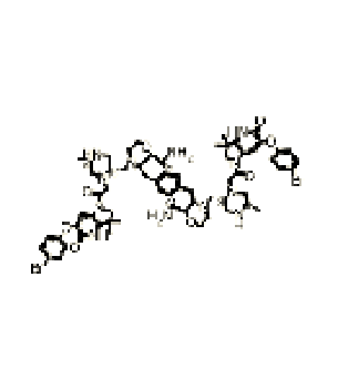 C[C@@H]1CN(CC(=O)N2CC(C)(C)c3[nH]c(=O)c(Oc4ccc(Br)cc4)cc32)[C@@H](CN2CCOC(C(N)=O)C2Cc2ccc(CC3C(C(N)=O)OCCN3C[C@H]3CN[C@H](C)CN3CC(=O)N3CC(C)(C)c4[nH]c(=O)c(Oc5ccc(Br)cc5)cc43)cc2)CN1